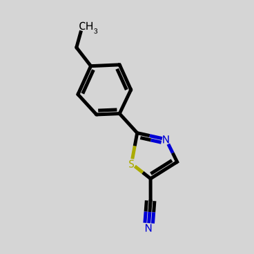 CCc1ccc(-c2ncc(C#N)s2)cc1